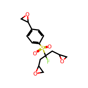 O=S(=O)(c1ccc(C2CO2)cc1)C(F)(CC1CO1)CC1CO1